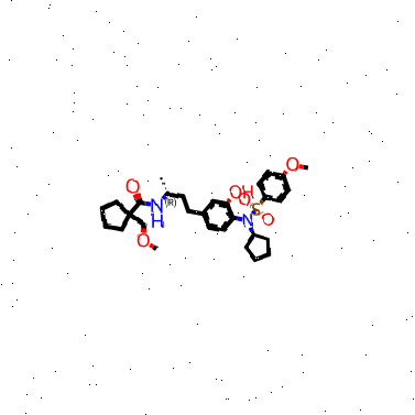 COCC1(C(=O)N[C@H](C)CCc2ccc(N(C3CCCC3)S(=O)(=O)c3ccc(OC)cc3)c(O)c2)CCCC1